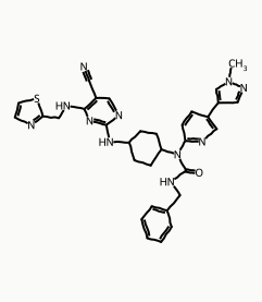 Cn1cc(-c2ccc(N(C(=O)NCc3ccccc3)C3CCC(Nc4ncc(C#N)c(NCc5nccs5)n4)CC3)nc2)cn1